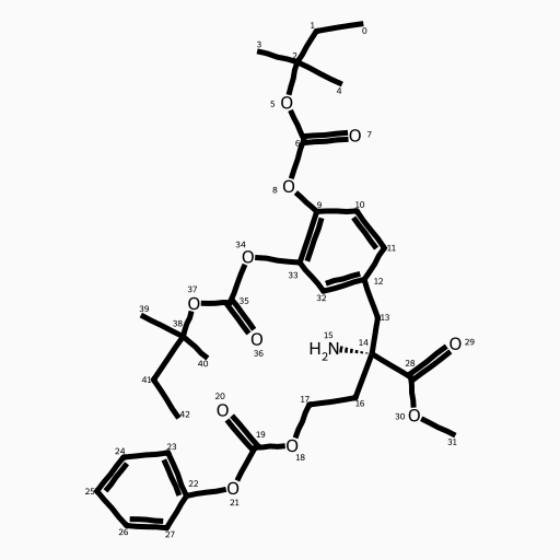 CCC(C)(C)OC(=O)Oc1ccc(C[C@](N)(CCOC(=O)Oc2ccccc2)C(=O)OC)cc1OC(=O)OC(C)(C)CC